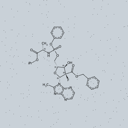 Cc1nc2nccnc2n1[C@@H]1O[C@H](COP(=O)(N[C@@H](C)C(=O)OC(C)C)Oc2ccccc2)[C@@H](O)[C@]1(F)C(=O)OCc1ccccc1